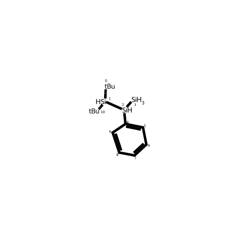 CC(C)(C)[SiH]([SiH]([SiH3])c1ccccc1)C(C)(C)C